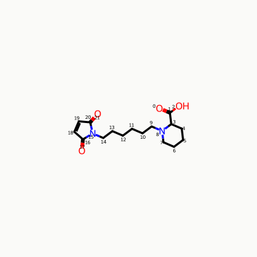 O=C(O)C1CCCCN1CCCCCCN1C(=O)C=CC1=O